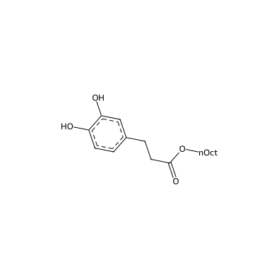 CCCCCCCCOC(=O)CCc1ccc(O)c(O)c1